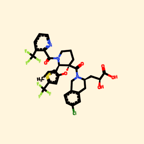 CCC[C@H]1N(C(=O)c2ncccc2C(F)(F)F)CCC[C@@]1(Oc1csc(C(F)(F)F)c1)C(=O)N1Cc2ccc(Cl)cc2C[C@@H]1C[C@H](O)C(=O)O